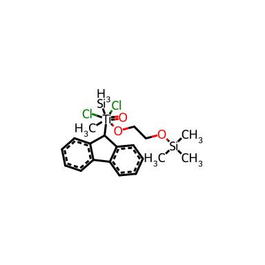 C[Si](C)(C)OCC[O][Ti]([CH3])(=[O])([SiH3])([Cl])([Cl])[CH]1c2ccccc2-c2ccccc21